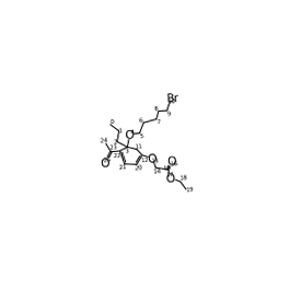 CCCC1(OCCCCCBr)CC(OCC(=O)OCC)=CC=C1C(C)=O